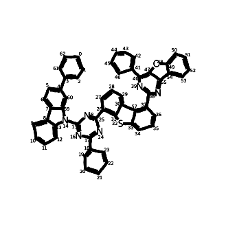 c1ccc(-c2ccc3c4ccccc4n(-c4nc(-c5ccccc5)nc(-c5cccc6c5sc5cccc(-c7nc(-c8ccccc8)c8oc9ccccc9c8n7)c56)n4)c3c2)cc1